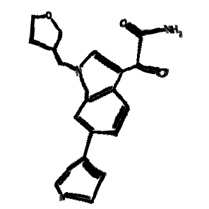 NC(=O)C(=O)c1cn(CC2CCOC2)c2cc(-c3ccncc3)ccc12